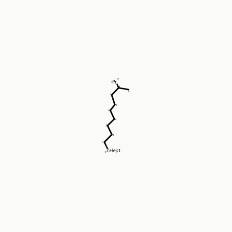 CCCCCCCCCCCCCCC(C)[C](C)C